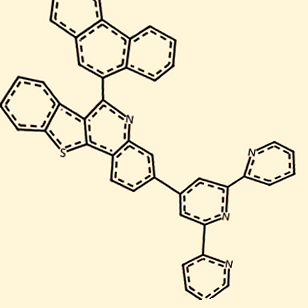 c1ccc(-c2cc(-c3ccc4c(c3)nc(-c3cc5ccccc5c5ccccc35)c3c5ccccc5sc43)cc(-c3ccccn3)n2)nc1